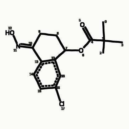 CC(C)(C)C(=O)OC1CC/C(=N\O)c2ccc(Cl)cc21